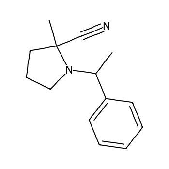 CC(c1ccccc1)N1CCCC1(C)C#N